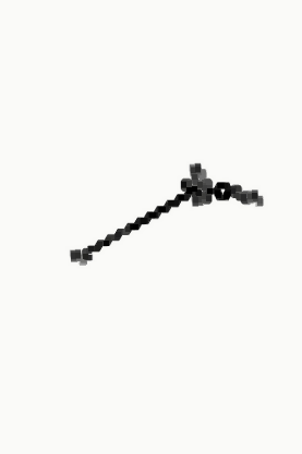 CCCCCCCCCC=CC=CC=CC=CC=CC=CC(=O)NC(C)OC(=O)c1ccc(OCC)cc1